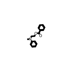 CN(CCOC(=O)c1ccccc1)c1ccccc1